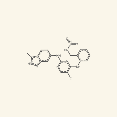 Cc1[nH]nc2cc(Nc3ncc(Cl)c(Nc4ccccc4CN[SH](=O)=O)n3)ccc12